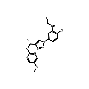 COc1cnc(O[C@H](C)c2cn(-c3ccc(Cl)c(NCF)c3)nn2)nc1